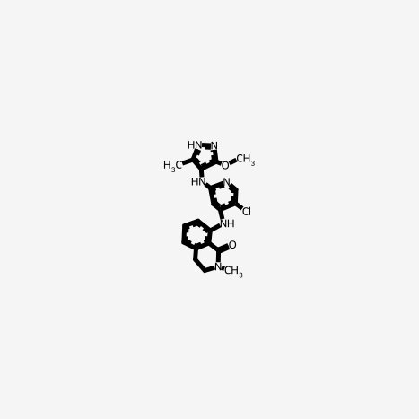 COc1n[nH]c(C)c1Nc1cc(Nc2cccc3c2C(=O)N(C)CC3)c(Cl)cn1